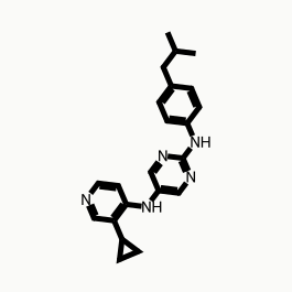 CC(C)Cc1ccc(Nc2ncc(Nc3ccncc3C3CC3)cn2)cc1